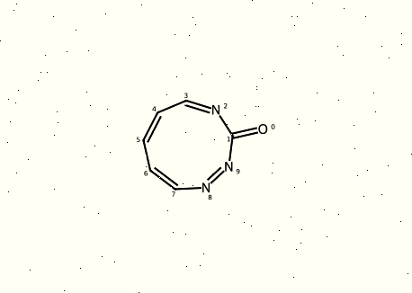 O=C1\N=C/C=C\C=C/N=N\1